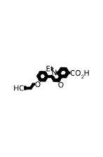 C#CCCOc1cccc(-c2cc(=O)c3cc(C(=O)O)ccc3n2CC)c1